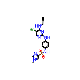 C#CCNc1nc(Nc2ccc(NS(=O)(=O)c3cn(C)cn3)cc2)ncc1Br